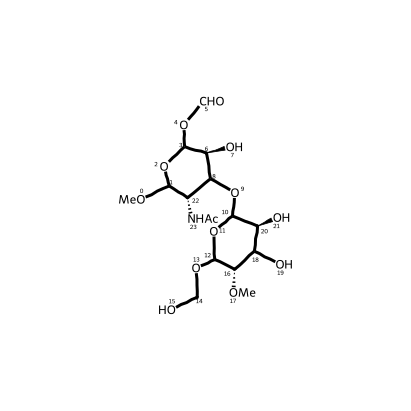 COC1OC(OC=O)[C@@H](O)C(OC2OC(OCO)[C@@H](OC)C(O)[C@@H]2O)[C@@H]1NC(C)=O